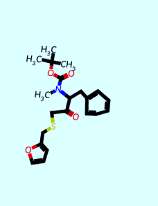 CN(C(=O)OC(C)(C)C)C(Cc1ccccc1)C(=O)CSCc1ccco1